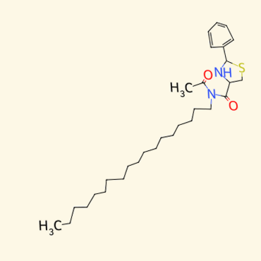 CCCCCCCCCCCCCCCCCCN(C(C)=O)C(=O)C1CSC(c2ccccc2)N1